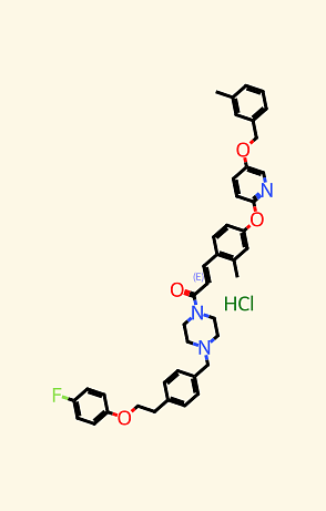 Cc1cccc(COc2ccc(Oc3ccc(/C=C/C(=O)N4CCN(Cc5ccc(CCOc6ccc(F)cc6)cc5)CC4)c(C)c3)nc2)c1.Cl